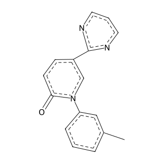 Cc1cccc(-n2cc(-c3ncccn3)ccc2=O)c1